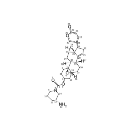 C[C@]12CC[C@H](OC(=O)N3CCC[C@@H](N)C3)C[C@H]1CC[C@H]1C3=CC[C@H](c4ccc(=O)oc4)[C@@]3(C)CC[C@@H]12